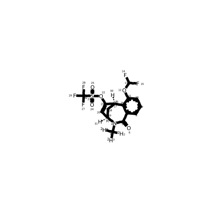 [2H]C([2H])([2H])N1C(=O)c2cccc(OC(F)F)c2[C@H]2C[C@@H]1C=C2OS(=O)(=O)C(F)(F)F